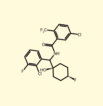 O=C(NC(c1cccc(F)c1Cl)[C@]1(O)CC[C@@H](F)CC1)c1cc(Cl)ccc1C(F)(F)F